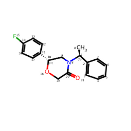 C[C@@H](c1ccccc1)N1C[C@@H](c2ccc(F)cc2)OCC1=O